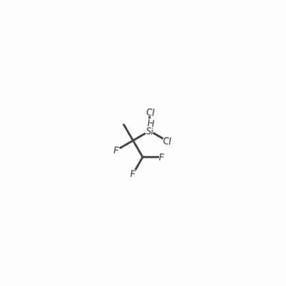 CC(F)(C(F)F)[SiH](Cl)Cl